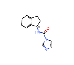 O=C(N[C@@H]1CCc2ccccc21)n1ccnc1